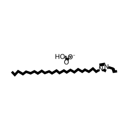 CC=CN1C=CN(CCCCCCCCCCCCCCCCCCCCCCCC)C1.O=[N+]([O-])O